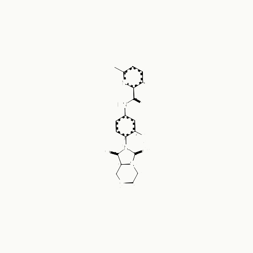 Cc1cccc(C(=O)Nc2ccc(N3C(=O)C4COCCN4C3=O)c(Cl)c2)n1